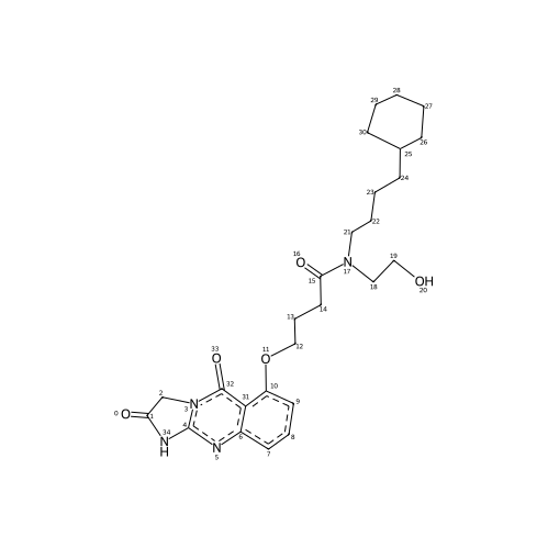 O=C1Cn2c(nc3cccc(OCCCC(=O)N(CCO)CCCCC4CCCCC4)c3c2=O)N1